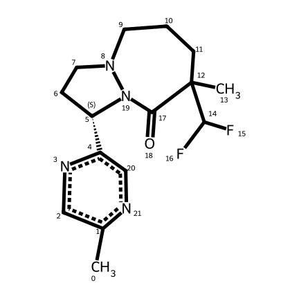 Cc1cnc([C@@H]2CCN3CCCC(C)(C(F)F)C(=O)N23)cn1